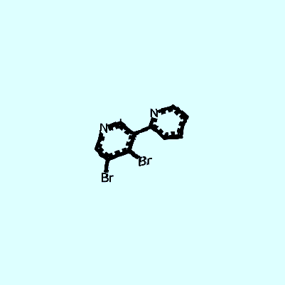 Brc1cn[c]c(-c2ccccn2)c1Br